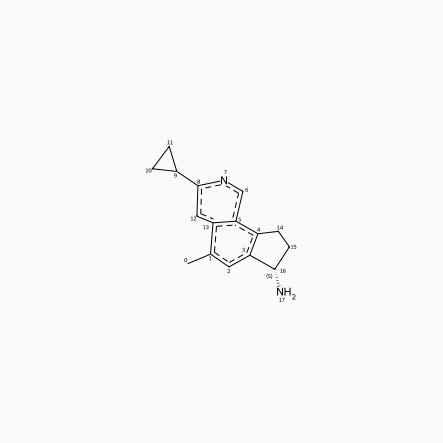 Cc1cc2c(c3cnc(C4CC4)cc13)CC[C@@H]2N